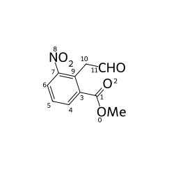 COC(=O)c1cccc([N+](=O)[O-])c1CC=O